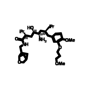 COCCCOc1cc(C[C@@H](C[C@H](N)[C@@H](O)C[C@H](C(=O)NCC2CC3COC2C3)C(C)C)C(C)C)ccc1OC